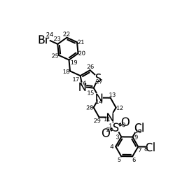 O=S(=O)(c1cccc(Cl)c1Cl)N1CCN(c2nc(Cc3cccc(Br)c3)cs2)CC1